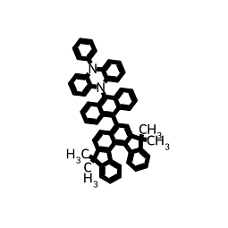 CC1(C)c2ccccc2-c2c1ccc1c(-c3c4ccccc4c(N4c5ccccc5N(c5ccccc5)c5ccccc54)c4ccccc34)cc3c(c21)-c1ccccc1C3(C)C